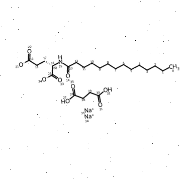 CCCCCCCCCCCCCC(=O)N[C@@H](CCC(=O)[O-])C(=O)[O-].O=C(O)CCC(=O)O.[Na+].[Na+]